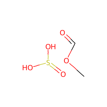 COC=O.O=S(O)O